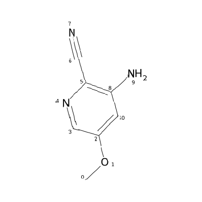 COc1cnc(C#N)c(N)c1